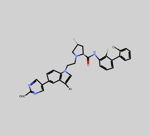 CC(=O)c1cn(CCN2C[C@H](F)C[C@H]2C(=O)Nc2cccc(-c3ccccc3Cl)c2F)c2ccc(-c3cnc(C=O)nc3)cc12